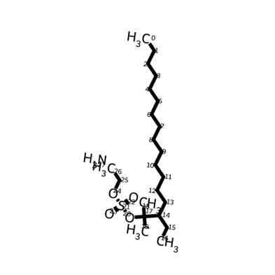 CCCCCCCCCCCCCCC(CC)C(C)(C)OS(=O)(=O)OCC.N